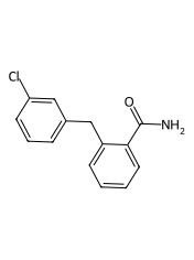 NC(=O)c1ccccc1Cc1cccc(Cl)c1